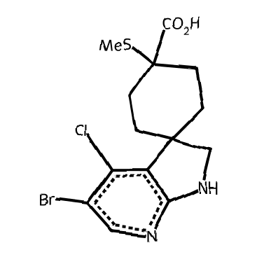 CSC1(C(=O)O)CCC2(CC1)CNc1ncc(Br)c(Cl)c12